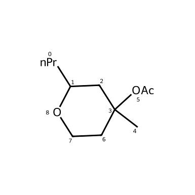 CCCC1CC(C)(OC(C)=O)CCO1